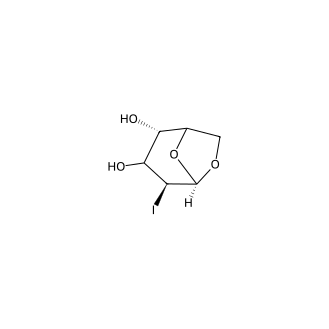 OC1[C@H](O)C2CO[C@H](O2)[C@H]1I